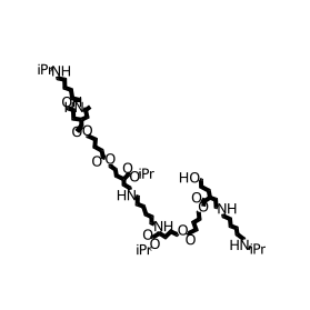 CC(C)NCCCCCCNCCC(CCCO)C(=O)OCCCCC(=O)OCCCC(NCCCCCCNCCC(CCCOC(=O)CCCCOC(=O)C(CCCO)CC(C)NCCCCCCNC(C)C)C(=O)OC(C)C)C(=O)OC(C)C